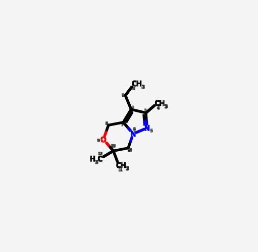 CCc1c(C)nn2c1COC(C)(C)C2